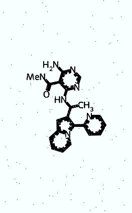 CNC(=O)c1c(N)ncnc1NC(C)c1cc2ccccn2c1-c1ccccn1